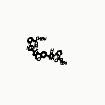 CC(C)(C)OC(=O)N1CCC[C@H]1c1ncc(-c2ccc3c(c2)OCc2cc(-c4cnc([C@@H]5CCCN5C(=O)OC(C)(C)C)[nH]4)sc2-3)[nH]1